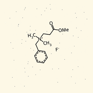 COC(=O)CC[N+](C)(C)Cc1ccccc1.[F-]